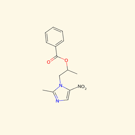 Cc1ncc([N+](=O)[O-])n1CC(C)OC(=O)c1ccccc1